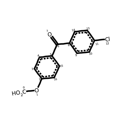 O=C(O)Oc1ccc(C(=O)c2ccc(Cl)cc2)cc1